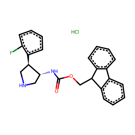 Cl.O=C(N[C@@H]1CNC[C@H]1c1ccccc1F)OCC1c2ccccc2-c2ccccc21